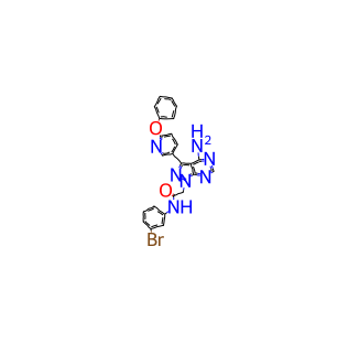 Nc1ncnc2c1c(-c1ccc(Oc3ccccc3)nc1)nn2CC(=O)Nc1cccc(Br)c1